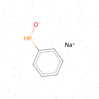 [Na+].[O-]Pc1ccccc1